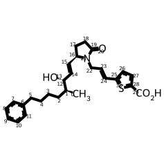 C[C@@H](CCCCc1ccccc1)[C@H](O)C=C[C@H]1CCC(=O)N1CC=Cc1ccc(C(=O)O)s1